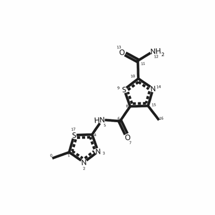 Cc1nnc(NC(=O)c2sc(C(N)=O)nc2C)s1